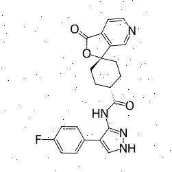 O=C1O[C@]2(CC[C@@H](C(=O)Nc3n[nH]cc3-c3ccc(F)cc3)CC2)c2cnccc21